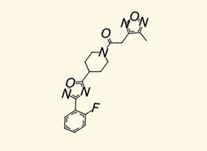 Cc1nonc1CC(=O)N1CCC(c2nc(-c3ccccc3F)no2)CC1